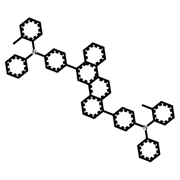 Cc1ccccc1N(c1ccccc1)c1ccc(-c2cc3c4cccc(-c5ccc(N(c6ccccc6)c6ccccc6C)cc5)c4ccc3c3ccccc23)cc1